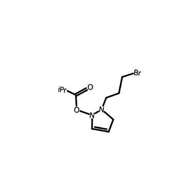 CC(C)C(=O)ON1C=CCN1CCCBr